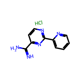 Cl.N=C(N)c1ccnc(-c2ccccn2)n1